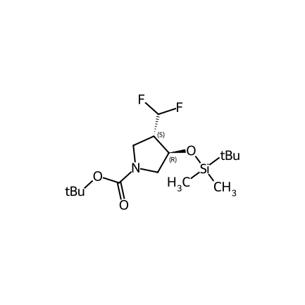 CC(C)(C)OC(=O)N1C[C@H](O[Si](C)(C)C(C)(C)C)[C@@H](C(F)F)C1